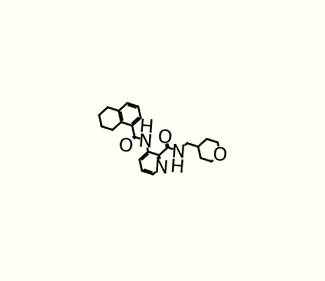 O=C(Nc1cccnc1C(=O)NCC1CCOCC1)c1cccc2c1CCCC2